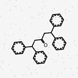 O=C(CC(c1ccccc1)c1ccccc1)CC(c1ccccc1)c1ccccc1